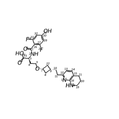 O=C(N[C@@H](CCO[C@H]1C[C@@H](CCc2ccc3c(n2)NCCC3)C1)C(=O)O)c1c(F)cc(O)cc1F